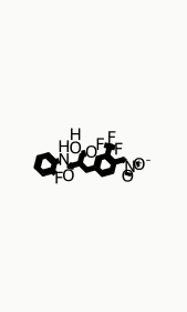 O=C(O)C(Cc1ccc(C[N+](=O)[O-])c(C(F)(F)F)c1)C(=O)Nc1ccccc1F